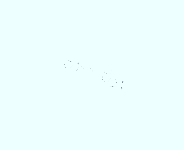 COc1ccc(S(=O)(=O)N2CCN(CCc3nc4ccc(S(C)(=O)=O)cc4c(=O)n3C)CC2)cc1